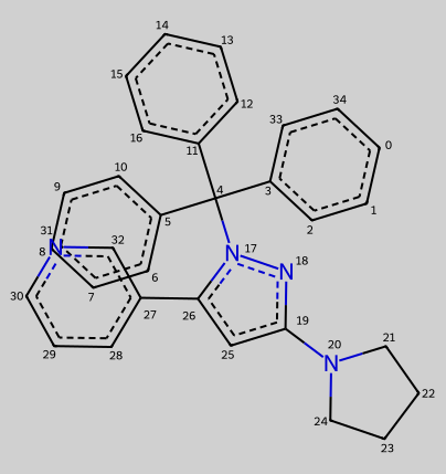 c1ccc(C(c2ccccc2)(c2ccccc2)n2nc(N3CCCC3)cc2-c2cccnc2)cc1